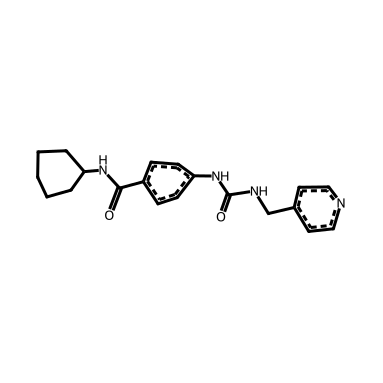 O=C(NCc1ccncc1)Nc1ccc(C(=O)NC2CCCCC2)cc1